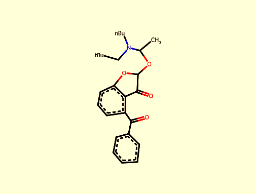 CCCCN(CC(C)(C)C)C(C)OC1Oc2cccc(C(=O)c3ccccc3)c2C1=O